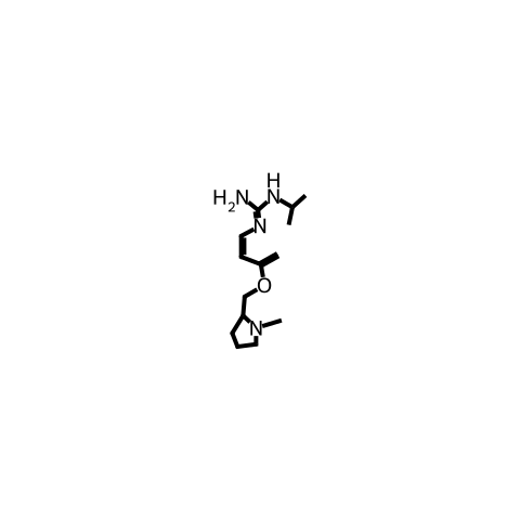 C=C(/C=C\N=C(/N)NC(C)C)OCC1CCCN1C